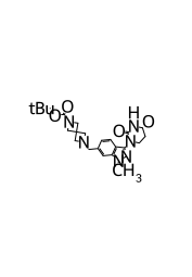 Cn1nc(N2CCC(=O)NC2=O)c2ccc(CN3CC4(C3)CN(C(=O)OC(C)(C)C)C4)cc21